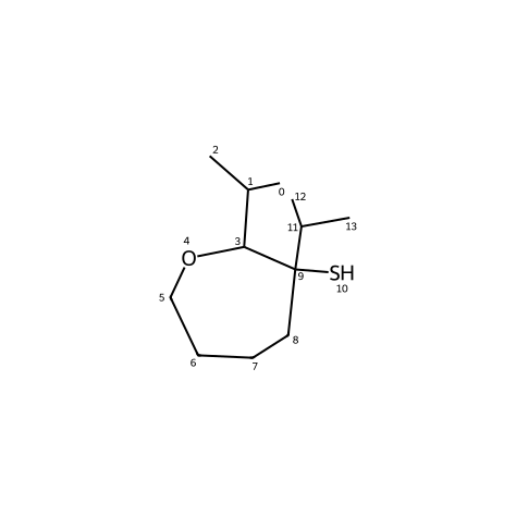 CC(C)C1OCCCCC1(S)C(C)C